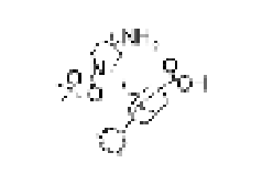 CC1(N)CCN(C(=O)OC(C)(C)C)CC1.CCC12CC3CC(C(=O)O)(C1)CC(c1ccccc1)(C3)C2